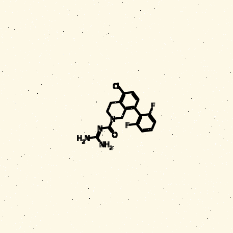 NC(N)=NC(=O)N1CCc2c(Cl)ccc(-c3c(F)cccc3F)c2C1